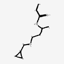 CCC(=O)OC(C)CCOCC1CC1